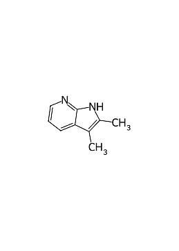 Cc1[nH]c2ncccc2c1C